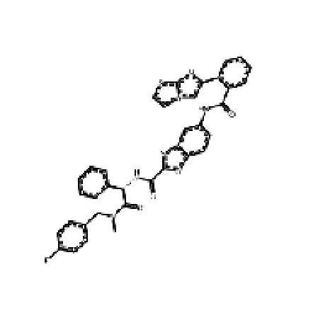 CN(Cc1ccc(F)cc1)C(=O)[C@@H](NC(=O)c1nc2ccc(NC(=O)c3ccccc3-c3cn4ccsc4n3)cc2s1)c1ccccc1